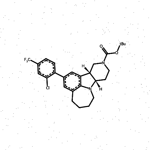 CC(C)(C)OC(=O)N1CC[C@H]2[C@@H](C1)c1cc(-c3ccc(C(F)(F)F)cc3Cl)cc3c1N2CCCC3